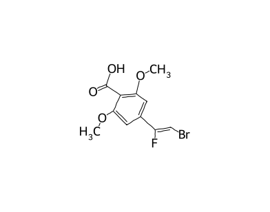 COc1cc(/C(F)=C/Br)cc(OC)c1C(=O)O